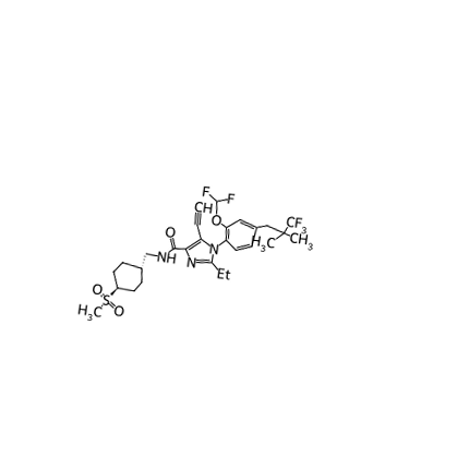 C#Cc1c(C(=O)NC[C@H]2CC[C@H](S(C)(=O)=O)CC2)nc(CC)n1-c1ccc(CC(C)(C)C(F)(F)F)cc1OC(F)F